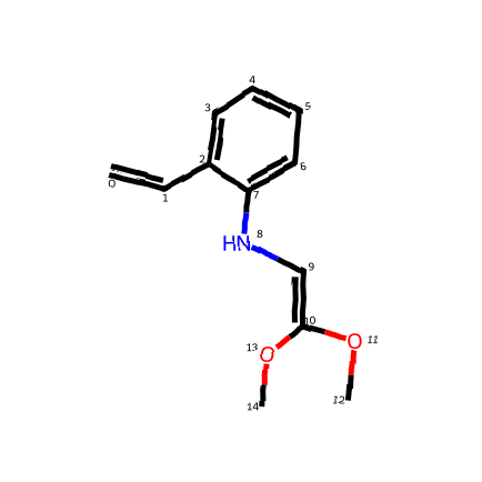 C=Cc1ccccc1NC=C(OC)OC